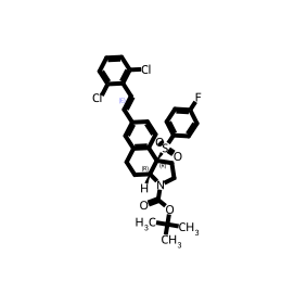 CC(C)(C)OC(=O)N1CC[C@@]2(S(=O)(=O)c3ccc(F)cc3)c3ccc(/C=C/c4c(Cl)cccc4Cl)cc3CC[C@@H]12